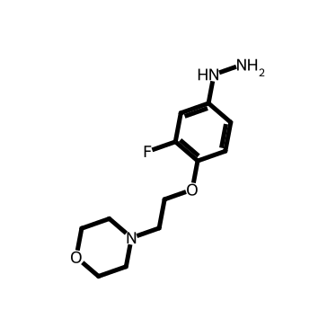 NNc1ccc(OCCN2CCOCC2)c(F)c1